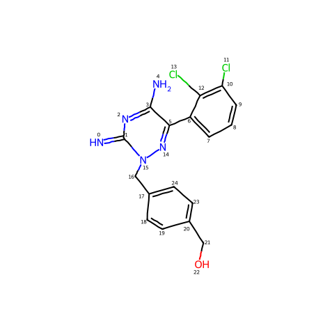 N=c1nc(N)c(-c2cccc(Cl)c2Cl)nn1Cc1ccc(CO)cc1